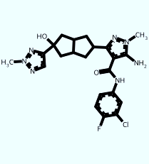 Cn1ncc(C2(O)CC3CC(c4nn(C)c(N)c4C(=O)Nc4ccc(F)c(Cl)c4)CC3C2)n1